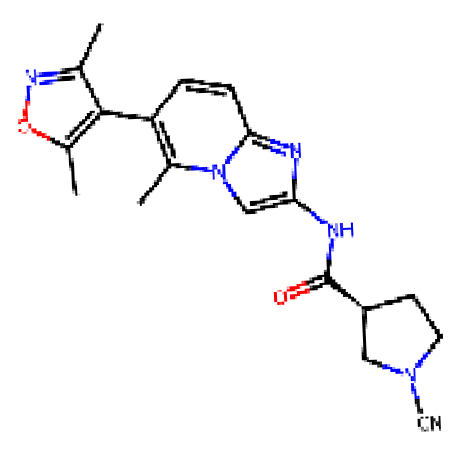 Cc1noc(C)c1-c1ccc2nc(NC(=O)[C@H]3CCN(C#N)C3)cn2c1C